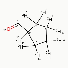 [2H]C1([2H])C([2H])([2H])C([2H])([2H])C([2H])(C=O)C1([2H])[2H]